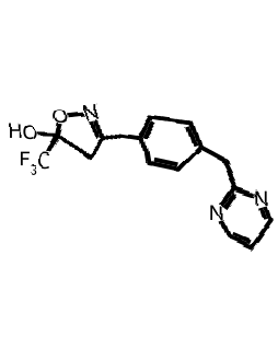 OC1(C(F)(F)F)CC(c2ccc(Cc3ncccn3)cc2)=NO1